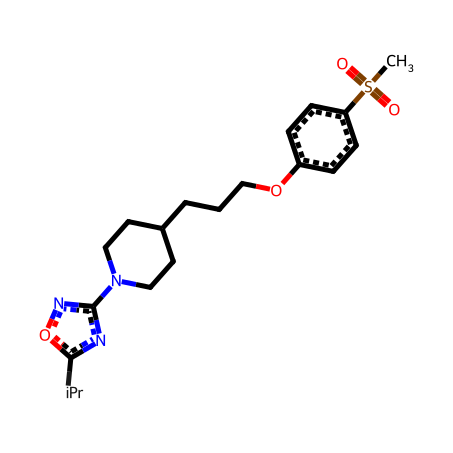 CC(C)c1nc(N2CCC(CCCOc3ccc(S(C)(=O)=O)cc3)CC2)no1